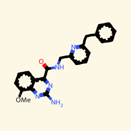 COc1cccc2c(C(=O)NCc3cccc(Cc4ccccc4)n3)nc(N)nc12